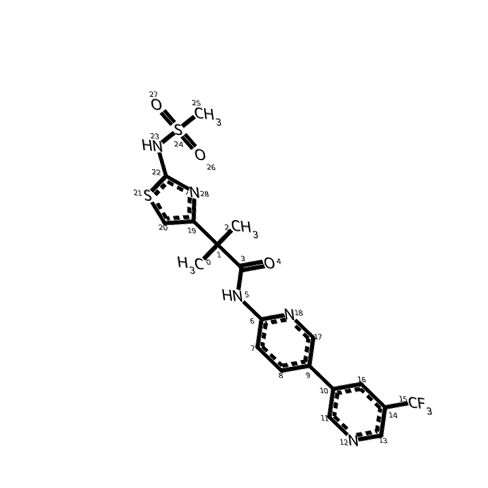 CC(C)(C(=O)Nc1ccc(-c2cncc(C(F)(F)F)c2)cn1)c1csc(NS(C)(=O)=O)n1